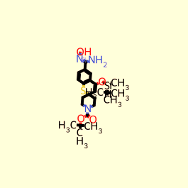 C[SiH](OC1=CC2(CCN(C(=O)OC(C)(C)C)CC2)Sc2ccc(/C(N)=N/O)cc21)C(C)(C)C